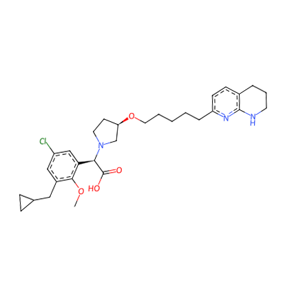 COc1c(CC2CC2)cc(Cl)cc1[C@H](C(=O)O)N1CC[C@@H](OCCCCCc2ccc3c(n2)NCCC3)C1